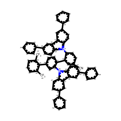 N#Cc1ccc(-n2c3ccc(-c4ccccc4)cc3c3cc(-c4ccccc4)ccc32)c(-c2ccc(-c3c(C(F)(F)F)cccc3C(F)(F)F)cc2-n2c3ccc(-c4ccccc4)cc3c3cc(-c4ccccc4)ccc32)c1